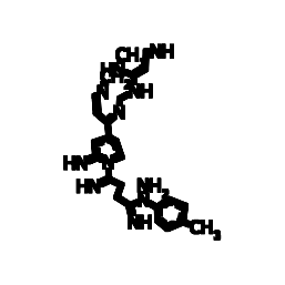 C=N/C=C\C(=N/CN/C(=C/C=N)NC)c1ccn(C(=N)CCC(=N)N(N)c2ccc(C)cc2)c(=N)c1